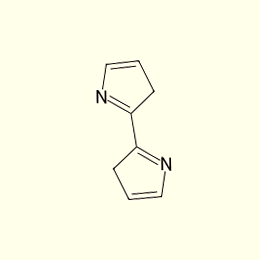 C1=CN=C(C2=NC=CC2)C1